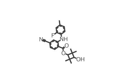 Cc1ccc(Nc2cc(C#N)ccc2C(=O)OC2C(C)(C)C(O)C2(C)C)c(F)c1